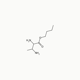 CCCCOC(=O)C(N)C(C)N